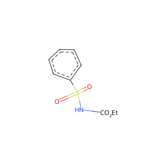 CCOC(=O)NS(=O)(=O)c1ccccc1